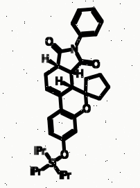 CC(C)[Si](Oc1ccc2c(c1)OC1(CCCC1)[C@@H]1C2=CC[C@@H]2C(=O)N(c3ccccc3)C(=O)[C@@H]21)(C(C)C)C(C)C